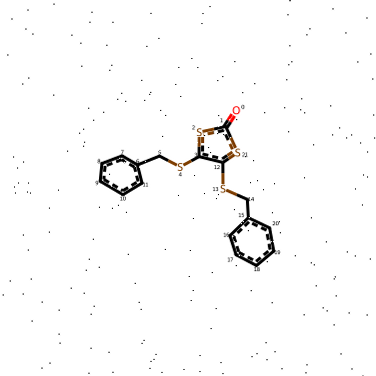 O=c1sc(SCc2ccccc2)c(SCc2ccccc2)s1